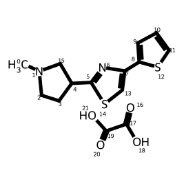 CN1CCC(c2nc(-c3cccs3)cs2)C1.O=C(O)C(=O)O